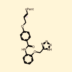 CCCCC/C=C/COc1ccc(C(=O)Nc2ccccc2OCc2nnn[nH]2)cc1